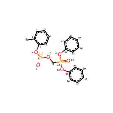 Cc1ccccc1O[PH](=O)OCP(=O)(Oc1ccccc1)Oc1ccccc1